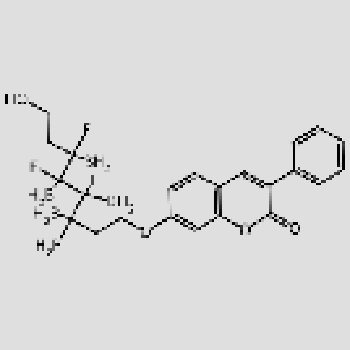 BC(F)(CCO)C(B)(F)C(B)(F)C(B)(P)CCOc1ccc2cc(-c3ccccc3)c(=O)oc2c1